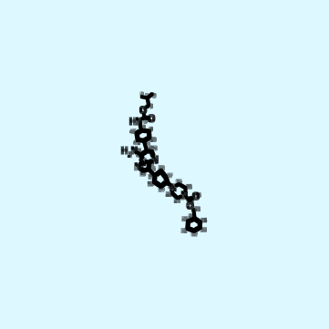 CC(C)COC(=O)Nc1ccc(-c2cnc3c(-c4ccc(N5CCN(C(=O)OCc6ccccc6)CC5)cc4)cnn3c2N)cc1